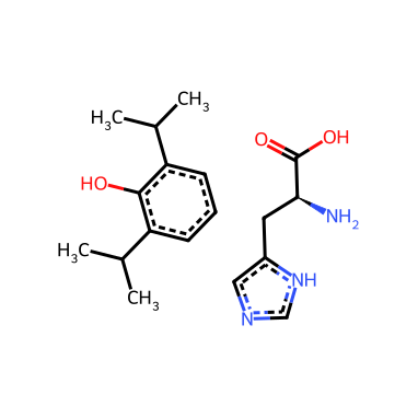 CC(C)c1cccc(C(C)C)c1O.N[C@@H](Cc1cnc[nH]1)C(=O)O